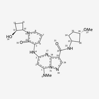 CNc1cc(Nc2cccn(C3CC[C@@H]3O)c2=O)nc2c(C(=O)NC3CC[C@H](OC)C3)cnn12